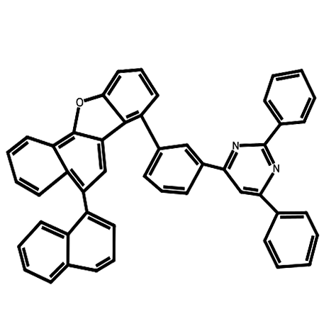 c1ccc(-c2cc(-c3cccc(-c4cccc5oc6c7ccccc7c(-c7cccc8ccccc78)cc6c45)c3)nc(-c3ccccc3)n2)cc1